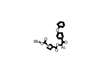 CC(=O)C(OC(=O)C1CCN(C(=O)OC(C)(C)C)C1)C(=O)c1ccc(Oc2ccccc2)cc1